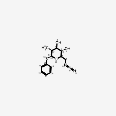 C[C@H]1C(O)[C@H](O)C(CN=[N+]=[N-])O[C@H]1Sc1ccccc1